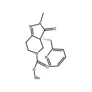 CN1N=C2CCN(C(=O)OC(C)(C)C)C[C@]2(Cc2ccccn2)C1=O